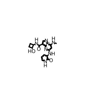 CNc1cc(Nc2ccc[nH]c2=O)nc2c(C(=O)NC3CC[C@@H]3O)cnn12